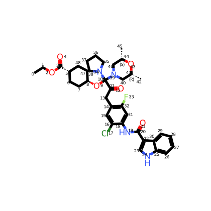 CCOC(=O)[C@H]1CC[C@H](OC(C(=O)Cc2cc(Cl)c(NC(=O)c3c[nH]c4ccccc34)cc2F)(N2CCCC2)N2C[C@@H](C)O[C@@H](C)C2)CC1